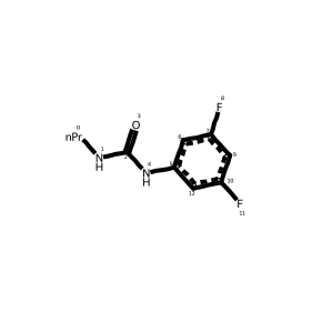 CCCNC(=O)Nc1cc(F)cc(F)c1